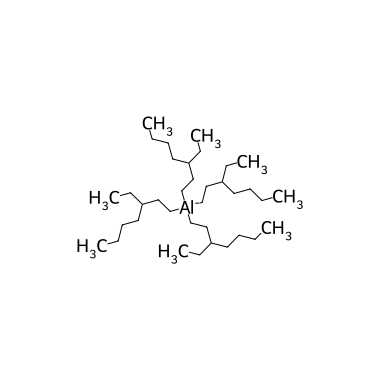 CCCCC(CC)C[CH2][Al-]([CH2]CC(CC)CCCC)([CH2]CC(CC)CCCC)[CH2]CC(CC)CCCC